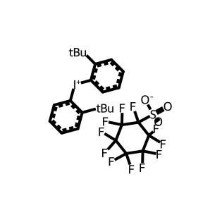 CC(C)(C)c1ccccc1[I+]c1ccccc1C(C)(C)C.O=S(=O)([O-])C1(F)C(F)(F)C(F)(F)C(F)(F)C(F)(F)C1(F)F